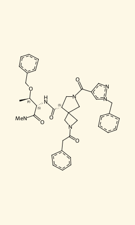 CNC(=O)[C@@H](NC(=O)[C@@H]1CN(C(=O)c2cnn(Cc3ccccc3)c2)CC12CN(C(=O)Cc1ccccc1)C2)[C@@H](C)OCc1ccccc1